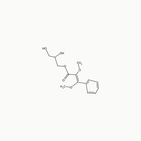 COC(C(=O)OCC(O)CO)=C(OC)c1ccccc1